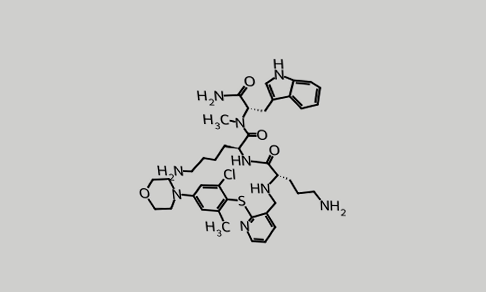 Cc1cc(N2CCOCC2)cc(Cl)c1Sc1ncccc1CN[C@@H](CCCN)C(=O)N[C@@H](CCCCN)C(=O)N(C)[C@@H](Cc1c[nH]c2ccccc12)C(N)=O